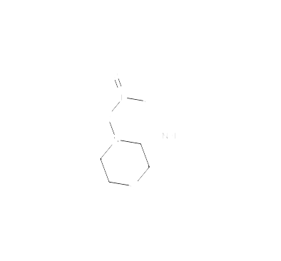 O=[PH](O)ON1CCOCC1.[NaH]